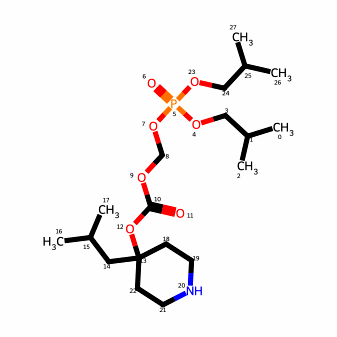 CC(C)COP(=O)(OCOC(=O)OC1(CC(C)C)CCNCC1)OCC(C)C